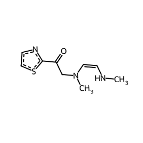 CN/C=C\N(C)CC(=O)c1nccs1